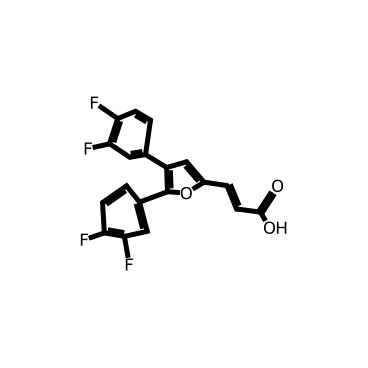 O=C(O)/C=C/c1cc(-c2ccc(F)c(F)c2)c(-c2ccc(F)c(F)c2)o1